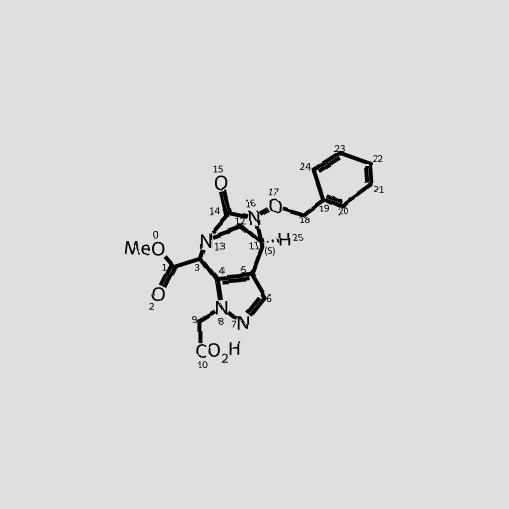 COC(=O)C1c2c(cnn2CC(=O)O)[C@H]2CN1C(=O)N2OCc1ccccc1